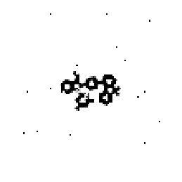 CCC1c2ccccc2N(c2cc(C)cc(C)n2)C1c1ccc(-c2cccc3c2-c2ccccc2C3(C)C)cc1